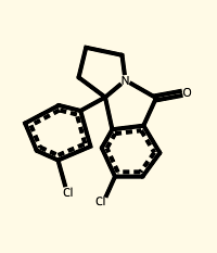 O=C1c2ccc(Cl)cc2C2(c3cccc(Cl)c3)CCCN12